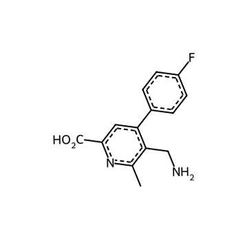 Cc1nc(C(=O)O)cc(-c2ccc(F)cc2)c1CN